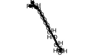 O=C(CCCCCNC(=O)CCCC[C@@H]1SC[C@@H]2NC(=O)N[C@@H]21)NCCCCCC(=O)NCCOCCOCCOCCOCCOCCOCCOCCOc1ccc(-c2nc(-c3ccc(F)cc3)c(-c3ccncc3)[nH]2)cc1